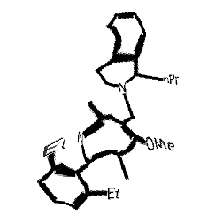 CCCC1c2ccccc2CCN1Cc1c(C)nc(-c2c(CC)cccc2CC)c(C)c1OC